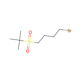 CC(C)(C)S(=O)(=O)CCCCBr